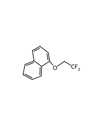 FC(F)(F)COc1cccc2ccccc12